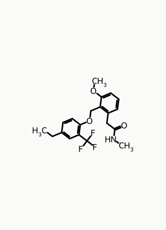 CCc1ccc(OCc2c(CC(=O)NC)cccc2OC)c(C(F)(F)F)c1